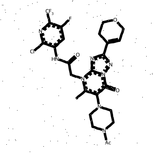 CC(=O)N1CCN(c2c(C)n(CC(=O)Nc3cc(F)c(C(F)(F)F)nc3Cl)c3nc(C4=CCOCC4)nn3c2=O)CC1